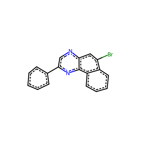 Brc1cc2ncc(-c3ccccc3)nc2c2ccccc12